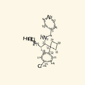 CC(C)CC(NCc1ccncc1)C1(c2ccc(Cl)cc2)CCC1.Cl.Cl